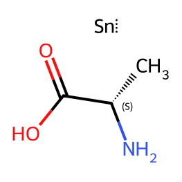 C[C@H](N)C(=O)O.[Sn]